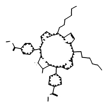 CCCCCCc1c2nc(c(CCCCCC)c3ccc([nH]3)c(-c3ccc(C(=O)OC)cc3)c3nc(c(-c4ccc(C(=O)OC)cc4)c4ccc1[nH]4)C(O)[C@@H]3O)C=C2